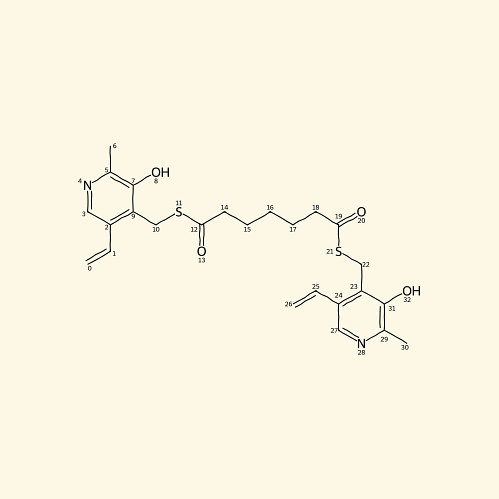 C=Cc1cnc(C)c(O)c1CSC(=O)CCCCCC(=O)SCc1c(C=C)cnc(C)c1O